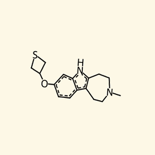 CN1CCc2[nH]c3cc(OC4CSC4)ccc3c2CC1